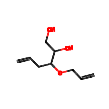 C=CCOC(CC=C)C(O)CO